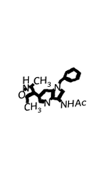 CC(=O)Nc1cn(Cc2ccccc2)c2cc(C3=C(C)ONC3C)cnc12